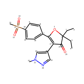 CCC1(CC)OC(c2ccc(S(C)(=O)=O)cc2)=C(c2cnn(C)c2)C1=O